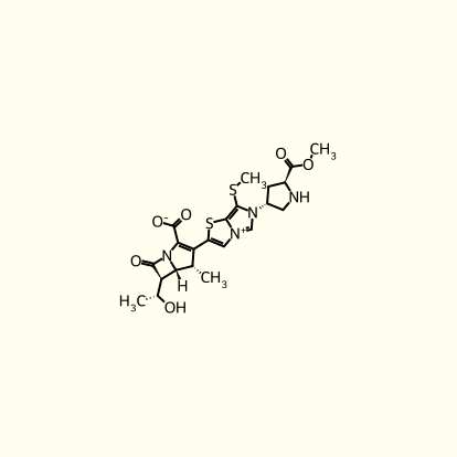 COC(=O)[C@@H]1C[C@@H](n2c[n+]3cc(C4=C(C(=O)[O-])N5C(=O)[C@H]([C@@H](C)O)[C@H]5[C@H]4C)sc3c2SC)CN1